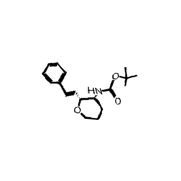 CC(C)(C)OC(=O)N[C@@H]1CCCO[C@@H]1C=Cc1ccccc1